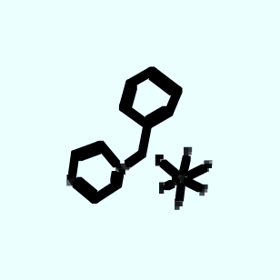 [F][Sb-]([F])([F])([F])([F])[F].c1ccc(C[n+]2ccncc2)cc1